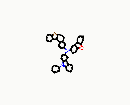 c1ccc(-n2c3ccccc3c3cc(N(c4ccc5c(c4)CCc4sc6ccccc6c4-5)c4ccc5oc6ccccc6c5c4)ccc32)cc1